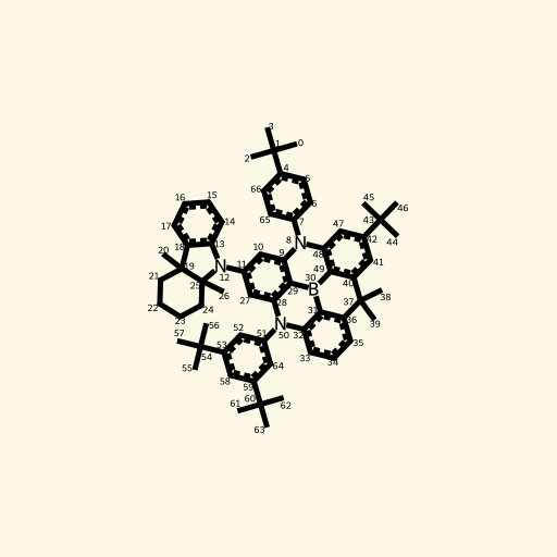 CC(C)(C)c1ccc(N2c3cc(N4c5ccccc5C5(C)CCCCC45C)cc4c3B3c5c(cccc5C(C)(C)c5cc(C(C)(C)C)cc2c53)N4c2cc(C(C)(C)C)cc(C(C)(C)C)c2)cc1